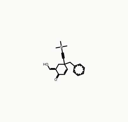 C[Si](C)(C)C#CC1(Cc2ccccc2)C=CC(=O)/C(=C/O)C1